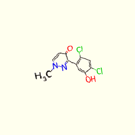 Cn1ccc(=O)c(-c2cc(O)c(Cl)cc2Cl)n1